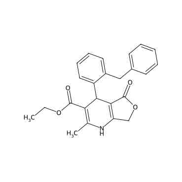 CCOC(=O)C1=C(C)NC2=C(C(=O)OC2)C1c1ccccc1Cc1ccccc1